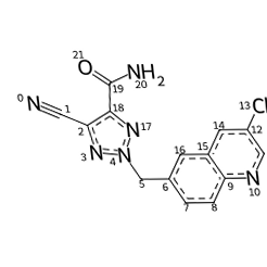 N#Cc1nn(Cc2ccc3ncc(Cl)cc3c2)nc1C(N)=O